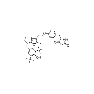 CCC(Sc1cc(C(C)(C)C)c(O)c(C(C)(C)C)c1)c1nc(CCOc2ccc(CC3NC(=O)SC3=O)cc2)c(C)o1